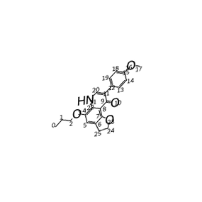 CCCOc1cc2c(c3c(=O)c(-c4ccc(OC)cc4)c[nH]c13)OCC2